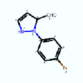 O=CC1C=CNN1c1ccc(Br)cc1